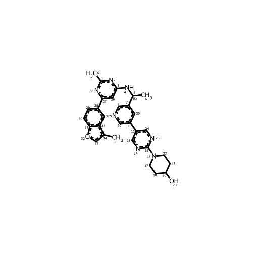 Cc1nc(N[C@@H](C)c2cncc(-c3cnc(N4CCC(O)CC4)nc3)c2)cc(-c2ccc3occ(C)c3c2)n1